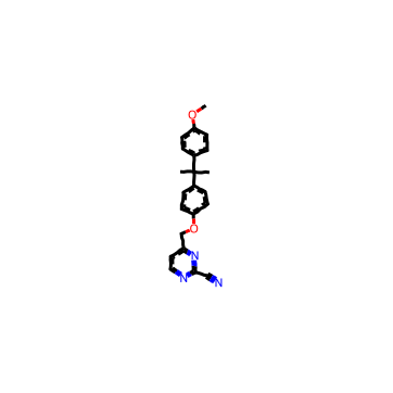 COc1ccc(C(C)(C)c2ccc(OCc3ccnc(C#N)n3)cc2)cc1